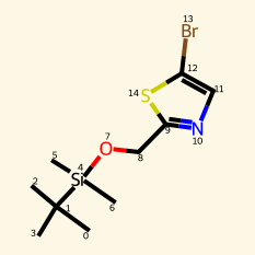 CC(C)(C)[Si](C)(C)OCc1ncc(Br)s1